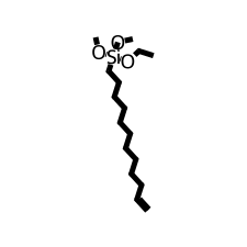 C=CCCCCCCCCCC[Si](OC)(OC)OCC